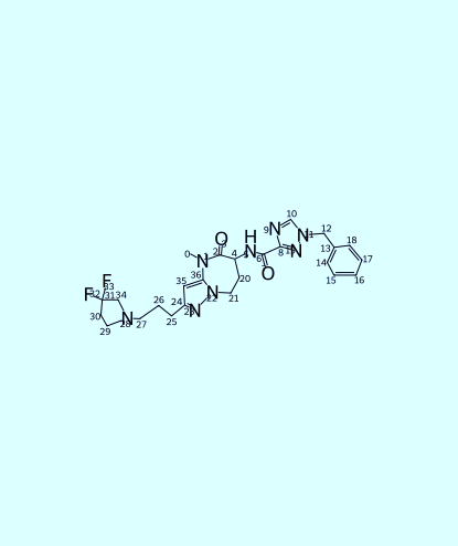 CN1C(=O)C(NC(=O)c2ncn(Cc3ccccc3)n2)CCn2nc(CCCN3CCC(F)(F)C3)cc21